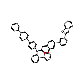 c1ccc(-c2ccc(-c3ccc(N(c4ccc5cc(-c6cccc(-c7cc8ccccc8o7)c6)ccc5c4)c4ccccc4-c4ccccc4)cc3)cc2)cc1